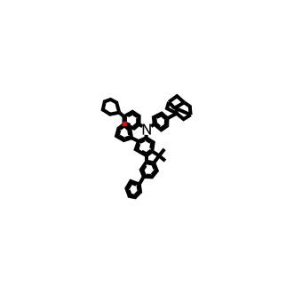 CC1(C)c2ccc(-c3ccccc3)cc2-c2cc(-c3ccccc3)c(N(c3ccc(C4CCCCC4)cc3)c3ccc(C45CC6CC(CC(C6)C4)C5)cc3)cc21